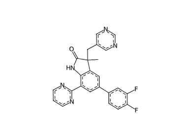 CC1(Cc2cncnc2)C(=O)Nc2c(-c3ncccn3)cc(-c3ccc(F)c(F)c3)cc21